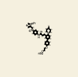 CCCCOCCOc1ccc(-c2ccc(N3CCC(C)CC3)c(C=CC(=O)Nc3ccc([S+]([O-])Cc4cncn4CCC)cc3)c2)cc1